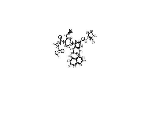 COC(=O)[C@H]1CN1C(=O)N1CCN(c2nc(OC[C@@H]3CCCN3C)nc3c2CCN(c2cccc4cccc(C)c24)C3)C[C@@H]1CC#N